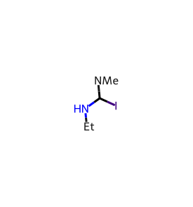 CCNC(I)NC